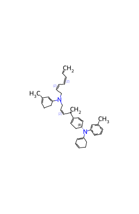 C=C/C=C\C=C/CN(C/C=C\C(=C)C1=CC[C@@H](N(C2=CC=CCC2)c2cccc(C)c2)C=C1)C1=CC(C)=CCC1